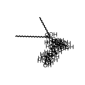 CCCCCCCCCCCCC/C=C/[C@@H](O)[C@H](CO[C@@H]1OC(CO)[C@@H](O[C@@H]2OC(CO)[C@H](O[C@@H]3OC(CO)[C@H](O)[C@H](O[C@@H]4OC(CO)[C@H](O)[C@H](O[C@]5(C(=O)O)CC(O)[C@@H](O)C([C@H](O)[C@H](O)CO)O5)C4O)C3NC(C)=O)[C@H](O[C@]3(C(=O)O)CC(O)[C@@H](NC(C)=O)C([C@H](O)[C@H](O)CO)O3)C2O)[C@H](O)C1O)NC(=O)CCCCCCCCCCCCCCCCCCCCCCC